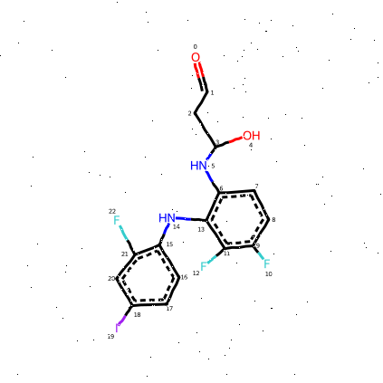 O=CCC(O)Nc1ccc(F)c(F)c1Nc1ccc(I)cc1F